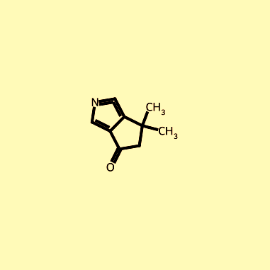 CC1(C)CC(=O)C2=CN=C=C21